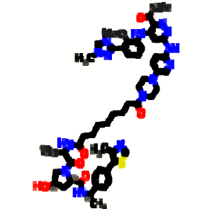 CNC(=O)c1nnc(Nc2ccc(N3CCN(C(=O)CCCCCCCC(=O)NC(C(=O)N4C[C@H](O)C[C@H]4C(=O)N[C@@H](C)c4ccc(-c5scnc5C)cc4)C(C)(C)C)CC3)cn2)cc1Nc1cccc(-c2ncn(C)n2)c1OC